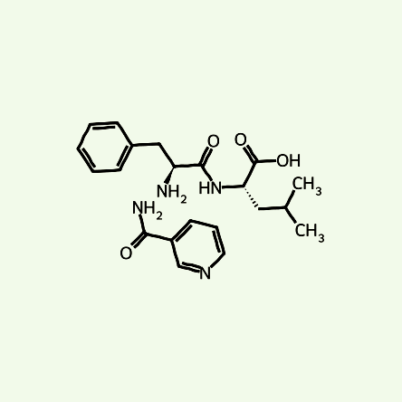 CC(C)C[C@H](NC(=O)[C@@H](N)Cc1ccccc1)C(=O)O.NC(=O)c1cccnc1